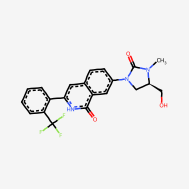 CN1C(=O)N(c2ccc3cc(-c4ccccc4C(F)(F)F)[nH]c(=O)c3c2)C[C@@H]1CO